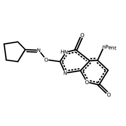 CCCCCc1cc(=O)oc2nc(ON=C3CCCC3)[nH]c(=O)c12